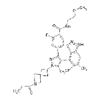 C=CC(=O)N1CC2(CC(n3nc(-c4ccc(C(=O)NCCOC)c(F)c4)c(-c4c(Cl)c(C)cc5[nH]ncc45)c3C)C2)C1